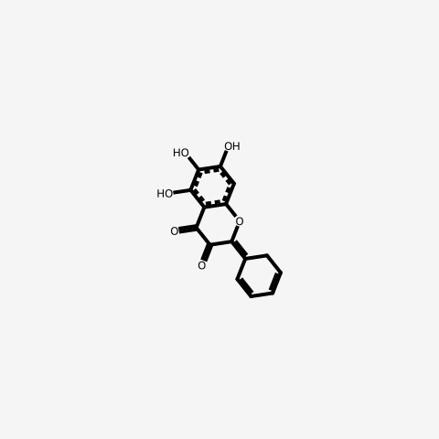 O=C1C(=O)c2c(cc(O)c(O)c2O)OC1=C1C=CC=CC1